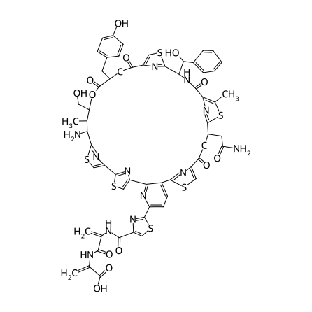 C=C(NC(=O)C(=C)NC(=O)c1csc(-c2ccc3c(n2)-c2csc(n2)-c2csc(n2)C(N)C(C)C(CO)OC(=O)C(Cc2ccc(O)cc2)CC(=O)c2csc(n2)C(C(O)c2ccccc2)NC(=O)c2nc(sc2C)C(CC(N)=O)CC(=O)c2csc-3n2)n1)C(=O)O